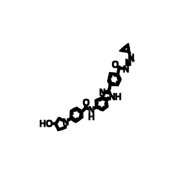 O=C(N=[N+]=NC1CC1)c1ccc(-c2nc3cc(NC(=O)c4ccc(N5CCC(O)C5)cc4)ccc3[nH]2)cc1